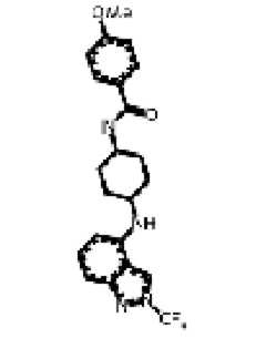 COc1ccc(C(=O)NC2CCC(Nc3cccc4nn(C(F)(F)F)cc34)CC2)cc1